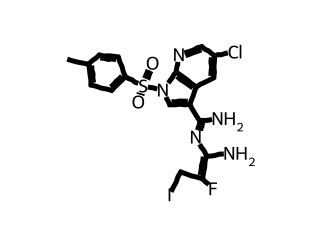 Cc1ccc(S(=O)(=O)n2cc(/C(N)=N/C(N)=C(/F)CI)c3cc(Cl)cnc32)cc1